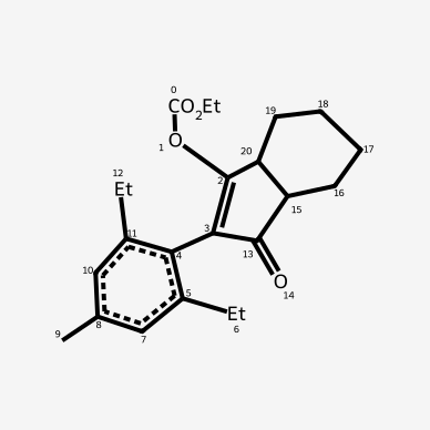 CCOC(=O)OC1=C(c2c(CC)cc(C)cc2CC)C(=O)C2CCCCC12